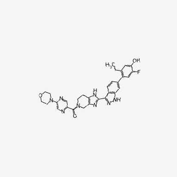 CCc1cc(O)c(F)cc1-c1ccc2c(-c3nc4c([nH]3)CCN(C(=O)c3cnc(N5CCOCC5)cn3)C4)n[nH]c2c1